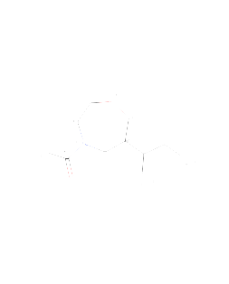 CCC(C)C1COCCN(C(C)=O)C1